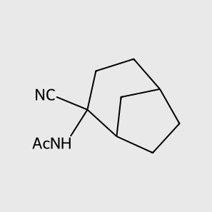 CC(=O)NC1(C#N)CCC2CCC1C2